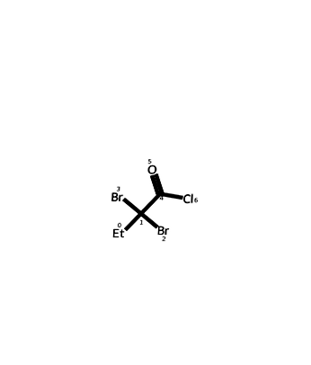 CCC(Br)(Br)C(=O)Cl